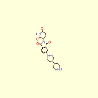 O=C1CCC(N2C(=O)c3ccc(N4CCC(C5CCNCC5)CC4)cc3C2=O)C(=O)N1